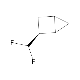 FC(F)[C@H]1CC2CC21